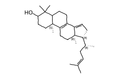 CC(C)=CC[C@@H](C)[C@H]1CC=C2C3=C(CC[C@@]21C)[C@@]1(C)CCC(O)C(C)(C)C1CC3